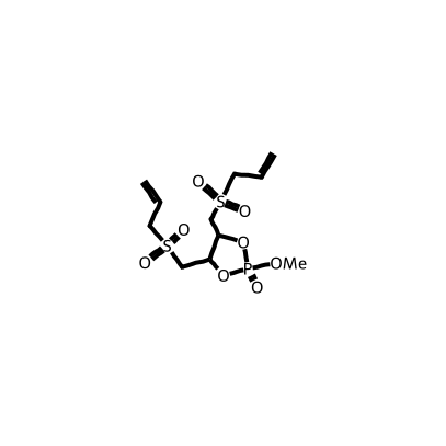 C=CCS(=O)(=O)CC1OP(=O)(OC)OC1CS(=O)(=O)CC=C